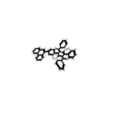 Cc1c2c(-c3ccccc3)nc3cc(-c4cc5ccccc5c5ccccc45)ccc3c2c(C)c2c(-c3ccccc3)nc3ccccc3c12